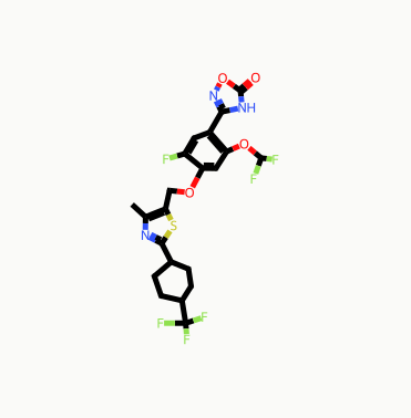 Cc1nc(C2CCC(C(F)(F)F)CC2)sc1COc1cc(OC(F)F)c(-c2noc(=O)[nH]2)cc1F